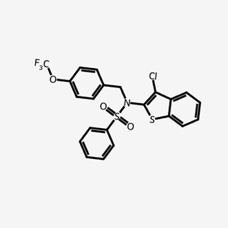 O=S(=O)(c1ccccc1)N(Cc1ccc(OC(F)(F)F)cc1)c1sc2ccccc2c1Cl